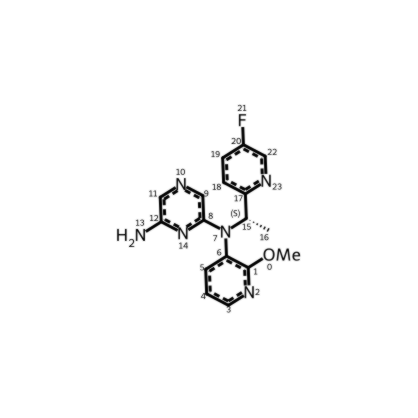 COc1ncccc1N(c1cncc(N)n1)[C@@H](C)c1ccc(F)cn1